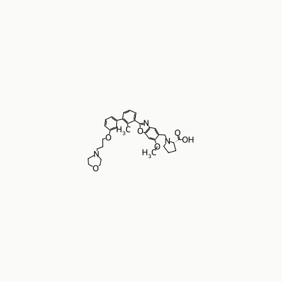 COc1cc2oc(-c3cccc(-c4cccc(OCCCN5CCOCC5)c4)c3C)nc2cc1CN1CCC[C@H]1C(=O)O